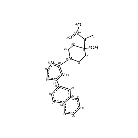 CC([N+](=O)[O-])C1(O)CCN(c2nccc(-c3ccc4ccccc4c3)n2)CC1